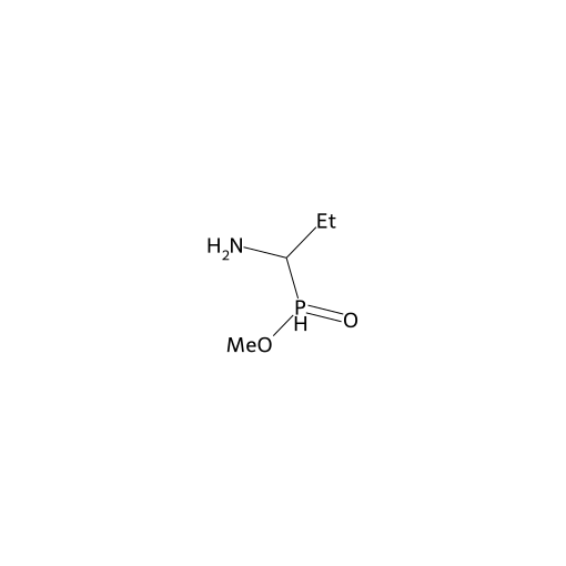 CCC(N)[PH](=O)OC